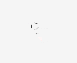 COc1c(C(C)(C)CO[Si](C)(C)C(C)(C)C)cc(I)c(F)c1I